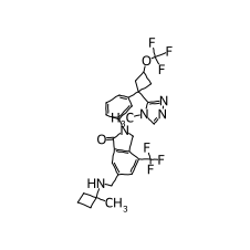 Cn1cnnc1C1(c2cccc(N3Cc4c(cc(CNC5(C)CCC5)cc4C(F)(F)F)C3=O)c2)CC(OC(F)(F)F)C1